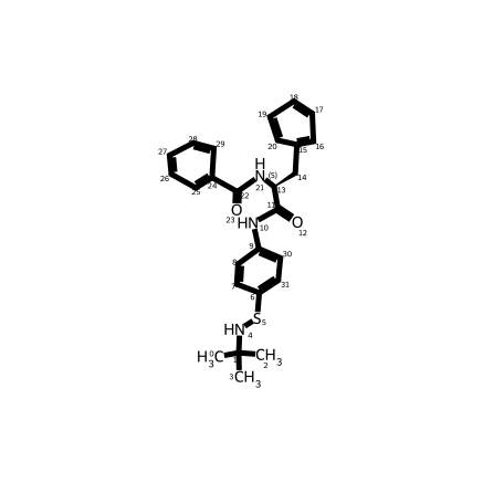 CC(C)(C)NSc1ccc(NC(=O)[C@H](Cc2ccccc2)NC(=O)c2ccccc2)cc1